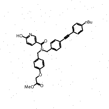 CCCCc1ccc(C#Cc2ccc(CN(Cc3ccc(OCC(=O)OC)cc3)C(=O)c3ccc(O)nc3)cc2)cc1